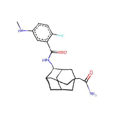 CNc1ccc(F)c(C(=O)NC2C3CC4CC2CC(C(N)=O)(C4)C3)c1